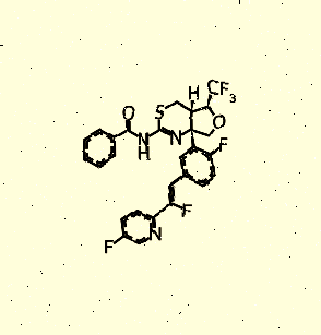 O=C(NC1=N[C@@]2(c3cc(/C=C(\F)c4ccc(F)cn4)ccc3F)CO[C@H](C(F)(F)F)[C@H]2CS1)c1ccccc1